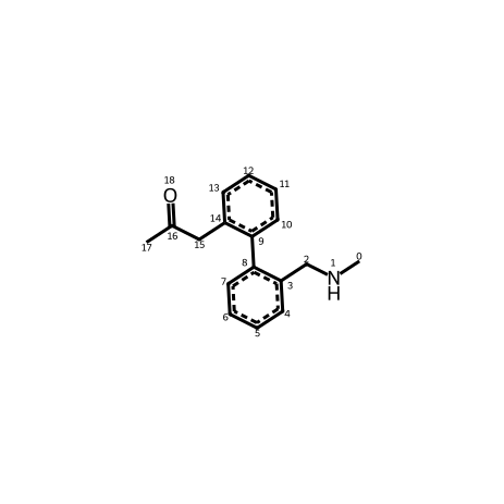 CNCc1ccccc1-c1ccccc1CC(C)=O